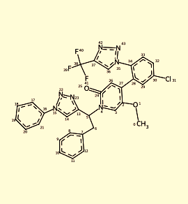 COc1cn(C(Cc2ccccc2)c2cn(-c3ccccc3)nn2)c(=O)cc1-c1cc(Cl)ccc1-n1cc(C(F)(F)F)nn1